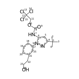 CC(C)(C)c1cc(NC(=O)OCC(Cl)(Cl)Cl)n(-c2cccc(CCO)c2)n1